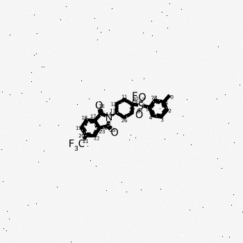 Cc1cccc(S(=O)(=O)[C@]2(F)CC[C@H](N3C(=O)c4ccc(C(F)(F)F)cc4C3=O)CC2)c1